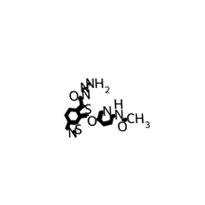 CC(=O)Nc1ccc(Oc2sc(C(=O)N=NN)c3c2-c2sncc2CC3)cn1